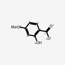 COc1ccc(C([O])=O)c(O)c1